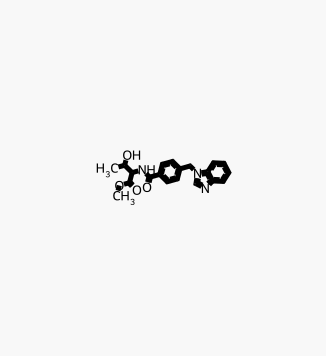 COC(=O)C(NC(=O)c1ccc(Cn2cnc3ccccc32)cc1)C(C)O